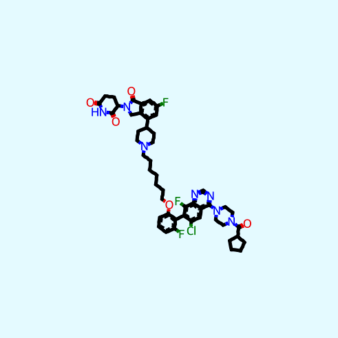 O=C1CCC(N2Cc3c(cc(F)cc3C3CCN(CCCCCCCOc4cccc(F)c4-c4c(Cl)cc5c(N6CCN(C(=O)C7CCCC7)CC6)ncnc5c4F)CC3)C2=O)C(=O)N1